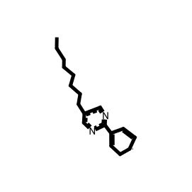 CCCCCCCCc1cnc(C2=CC[CH]C=C2)nc1